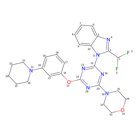 FC(F)c1nc2ccccc2n1-c1nc(Oc2cccc(N3CCCCC3)c2)nc(N2CCOCC2)n1